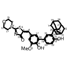 COc1cc(/C=C2/SC(N3CCOCC3)=NC2=O)cc(-c2ccc(O)c(C34CC5CC(CC(C5)C3)C4)c2)c1O